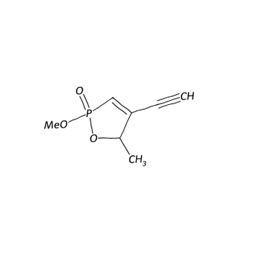 C#CC1=CP(=O)(OC)OC1C